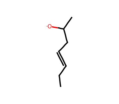 CCC=CCC(C)[O]